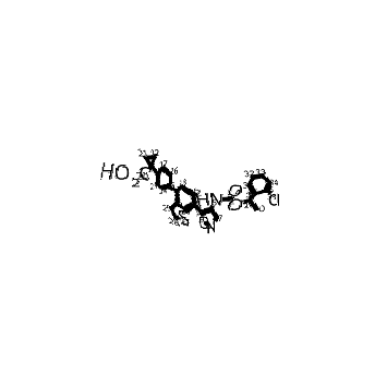 CC(OC(=O)Nc1cnoc1-c1ccc(-c2ccc(C3(C(=O)O)CC3)cc2)c2c1SCC2)c1ccccc1Cl